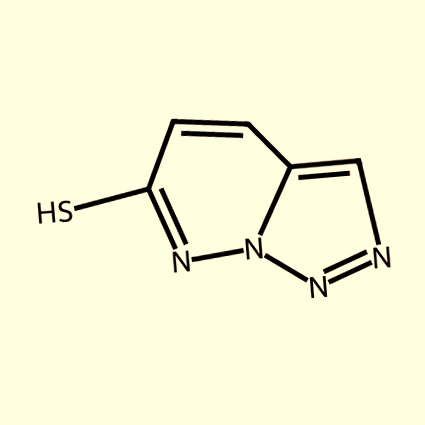 Sc1ccc2cnnn2n1